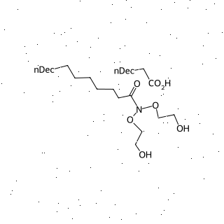 CCCCCCCCCCCC(=O)O.CCCCCCCCCCCCCCCCC(=O)N(OCCO)OCCO